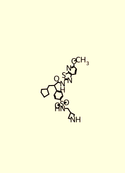 COc1ccc2nc(NC(=O)C(CC3CCCC3)c3ccc(S(=O)(=O)NCC4CNC4)cc3)sc2n1